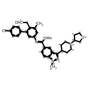 CS/C(=N\c1cc(C)c(CC=O)c(-c2ccc(Cl)cc2)c1)c1ccc2c(c1)c(C1CCN(C3CCOC3)CC1)nn2C